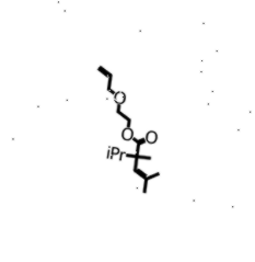 C=CCOCCOC(=O)C(C)(C=C(C)C)C(C)C